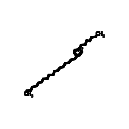 CCCCCCCCCCCCCCCCCCCc1cc[n+](CCCCCCC)cc1